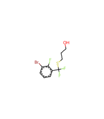 OCCCSC(F)(F)c1cccc(Br)c1F